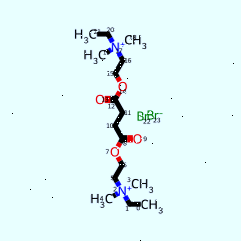 CC[N+](C)(C)CCOC(=O)CCC(=O)OCC[N+](C)(C)CC.[Br-].[Br-]